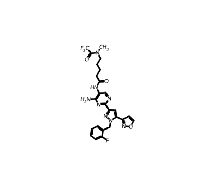 CN(CCCCC(=O)Nc1cnc(-c2cc(-c3ccon3)n(Cc3ccccc3F)n2)nc1N)C(=O)C(F)(F)F